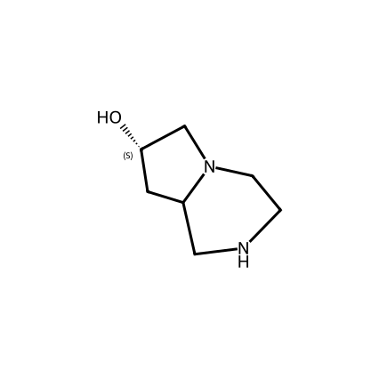 O[C@H]1CC2CNCCN2C1